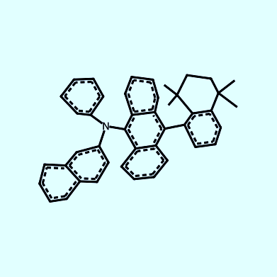 CC1(C)CCC(C)(C)c2c(-c3c4ccccc4c(N(c4ccccc4)c4ccc5ccccc5c4)c4ccccc34)cccc21